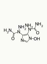 NC(=O)N(N)c1ncn(O)c1N(N)C(N)=O